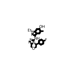 CCn1nc(Nc2nnc3n2C(c2ccc(F)cc2)COC3)c2cc(C)c(O)cc21